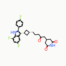 O=C(CCC[C@H]1C[C@@H](c2c(-c3ccc(F)cc3)[nH]c3c(F)cc(F)cc32)C1)CC1CC(=O)NC(=O)C1